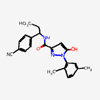 Cc1ccc(C)c(-n2nc(C(=O)NC(CC(=O)O)c3ccc(C#N)cc3)cc2O)c1